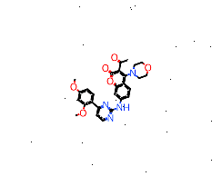 COc1ccc(-c2ccnc(Nc3ccc4c(N5CCOCC5)c(C(C)=O)c(=O)oc4c3)n2)c(OC)c1